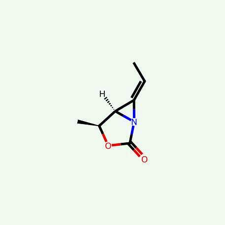 C/C=C1\[C@@H]2[C@H](C)OC(=O)N12